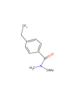 CON(C)C(=O)c1ccc(CC(F)(F)F)cc1